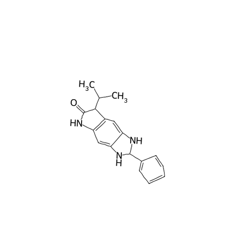 CC(C)C1C(=O)Nc2cc3c(cc21)NC(c1ccccc1)N3